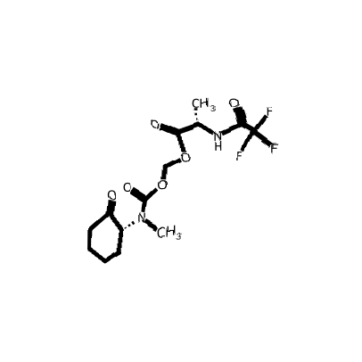 C[C@H](NC(=O)C(F)(F)F)C(=O)OCOC(=O)N(C)[C@@H]1CCCCC1=O